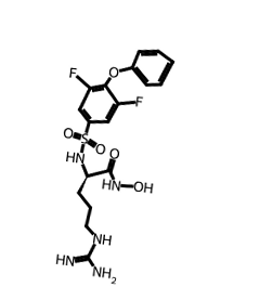 N=C(N)NCCC[C@@H](NS(=O)(=O)c1cc(F)c(Oc2ccccc2)c(F)c1)C(=O)NO